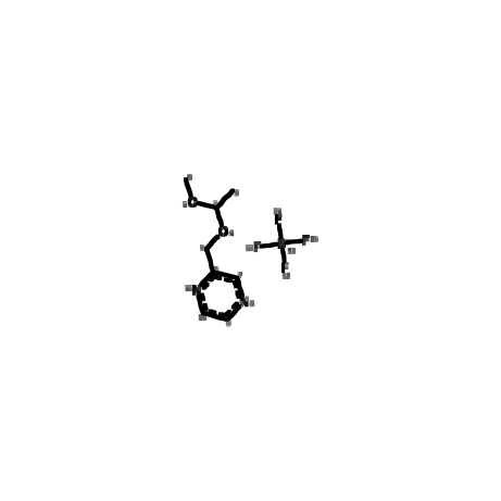 COC(C)OCc1cnccn1.F[B-](F)(F)F